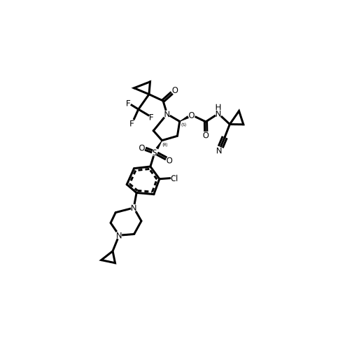 N#CC1(NC(=O)O[C@H]2C[C@@H](S(=O)(=O)c3ccc(N4CCN(C5CC5)CC4)cc3Cl)CN2C(=O)C2(C(F)(F)F)CC2)CC1